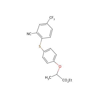 CCOC(=O)C(C)Oc1ccc(Sc2ccc(C(F)(F)F)cc2C#N)cc1